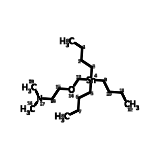 CCC[CH2][Sn]([CH2]CCC)([CH2]CCC)[CH2]OCCN(C)C